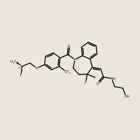 C[C@H](F)COc1ccc(C(=O)N2CCC(F)(F)C(=CC(=O)NCCO)c3ccccc32)c(C(F)(F)F)c1